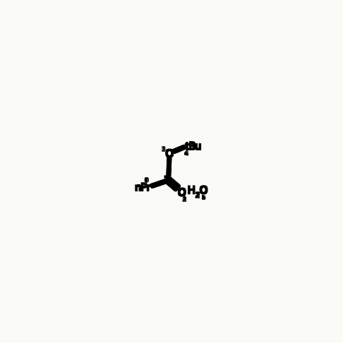 CCCC(=O)OC(C)(C)C.O